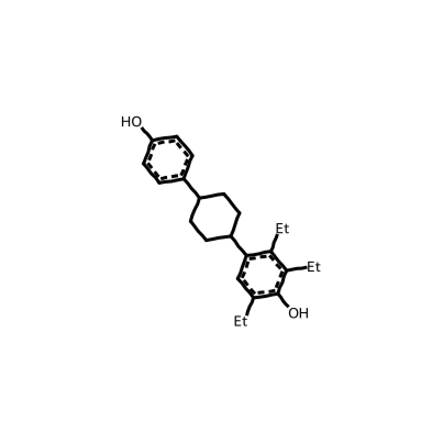 CCc1cc(C2CCC(c3ccc(O)cc3)CC2)c(CC)c(CC)c1O